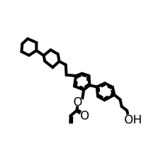 C=CC(=O)OCc1cc(CCC2CCC(C3CCCCC3)CC2)ccc1-c1ccc(CCCO)cc1